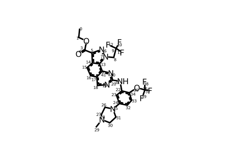 CCOC(=O)c1nn(CC(F)(F)F)c2c1ccc1cnc(Nc3cc(N4CCN(C)CC4)ccc3OC(F)(F)F)nc12